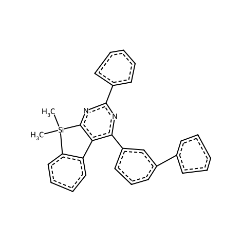 C[Si]1(C)c2ccccc2-c2c(-c3cccc(-c4ccccc4)c3)nc(-c3ccccc3)nc21